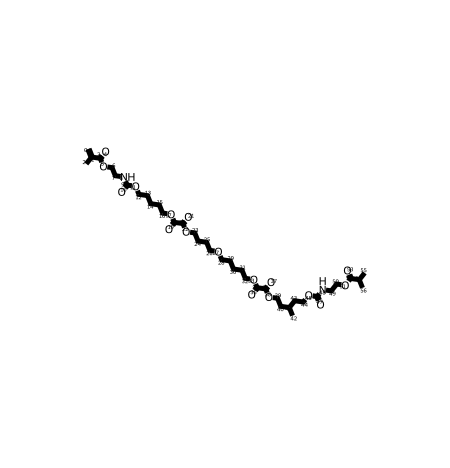 C=C(C)C(=O)OCCNC(=O)OCCCCCOC(=O)C(=O)OCCCCOCCCCCOC(=O)C(=O)OCCC(C)CCOC(=O)NCCOC(=O)C(C)C